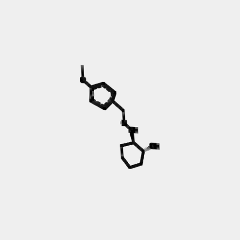 COc1ccc(C[N]N[C@@H]2CCCC[C@H]2O)cc1